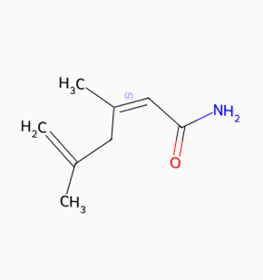 C=C(C)C/C(C)=C\C(N)=O